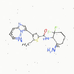 Cc1sc(C(=O)NC2[C@H](N)CCCC2(F)F)cc1-c1cnc2cccnn12